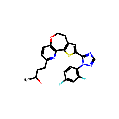 CC(O)CCc1ccc2c(n1)-c1sc(-c3ncnn3-c3ccc(F)cc3F)cc1CCO2